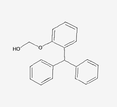 OCOc1ccccc1C(c1ccccc1)c1ccccc1